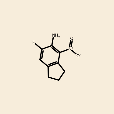 Nc1c(F)cc2c(c1[N+](=O)[O-])CCC2